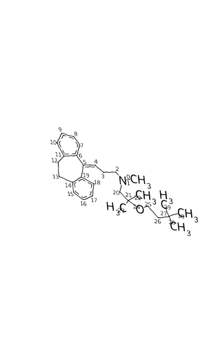 CN(CCC=C1c2ccccc2CCc2ccccc21)CC(C)(C)OCCC(C)(C)C